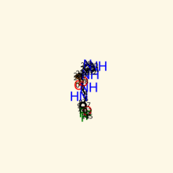 O=C(NCCNCc1cccc(OC(F)(F)F)c1)Oc1sccc1Nc1ccnc2[nH]ccc12